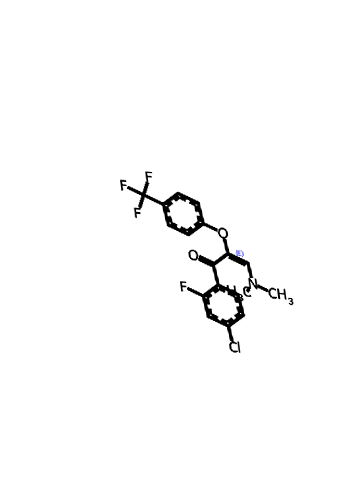 CN(C)/C=C(/Oc1ccc(C(F)(F)F)cc1)C(=O)c1ccc(Cl)cc1F